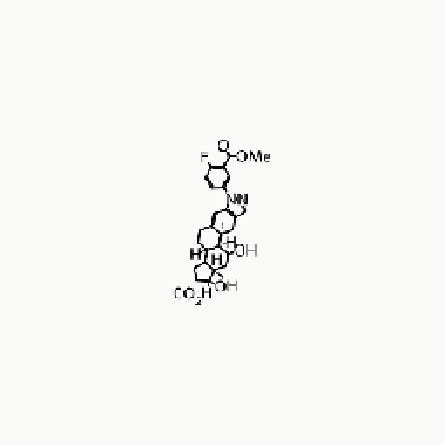 COC(=O)c1cc(-n2ncc3c2C=C2CC[C@@H]4[C@H]([C@@H](O)C[C@@]5(C)[C@H]4CC[C@]5(O)C(=O)O)[C@]2(C)C3)ccc1F